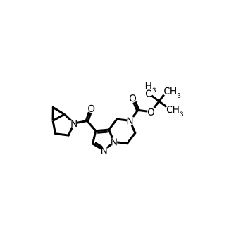 CC(C)(C)OC(=O)N1CCn2ncc(C(=O)N3CCC4CC43)c2C1